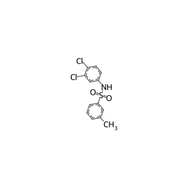 Cc1cccc(S(=O)(=O)Nc2ccc(Cl)c(Cl)c2)c1